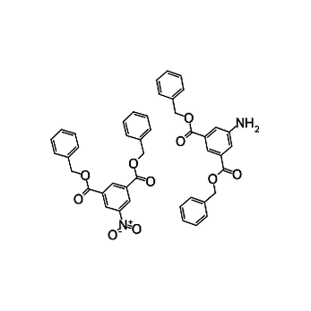 Nc1cc(C(=O)OCc2ccccc2)cc(C(=O)OCc2ccccc2)c1.O=C(OCc1ccccc1)c1cc(C(=O)OCc2ccccc2)cc([N+](=O)[O-])c1